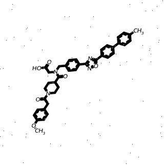 COc1ccc(CC(=O)N2CCC(C(=O)N(CC(=O)O)Cc3ccc(-c4noc(-c5ccc(-c6ccc(C)cc6)cc5)n4)cc3)CC2)cc1